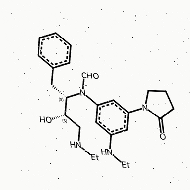 CCNC[C@H](O)[C@H](Cc1ccccc1)N(C=O)c1cc(NCC)cc(N2CCCC2=O)c1